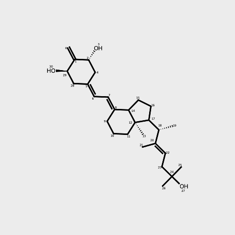 C=C1[C@H](O)CC(=C/C=C2\CCC[C@@]3(C)C2CCC3[C@H](C)/C(C)=C/CC(C)(C)O)C[C@H]1O